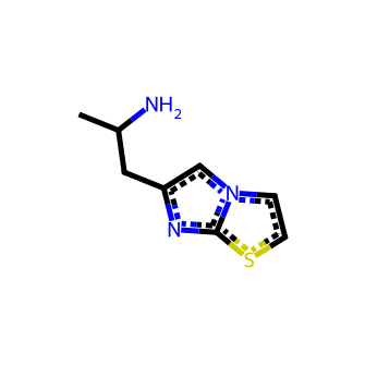 CC(N)Cc1cn2ccsc2n1